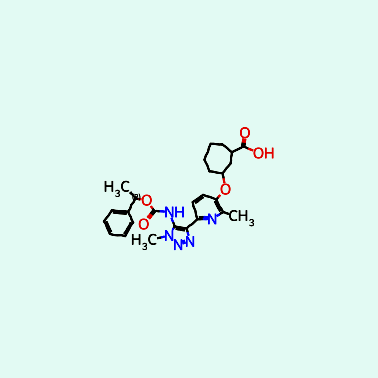 Cc1nc(-c2nnn(C)c2NC(=O)O[C@H](C)c2ccccc2)ccc1OC1CCCCC(C(=O)O)C1